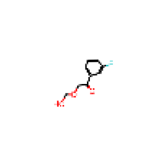 O=C([CH]OCO)c1cccc(F)c1